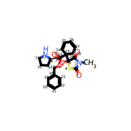 CN1C(=O)SC(OC[C@H]2CCCN2)(C2(C(=O)OCc3ccccc3)C=CC=CC2)C1=O